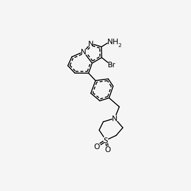 Nc1nn2cccc(-c3ccc(CN4CCS(=O)(=O)CC4)cc3)c2c1Br